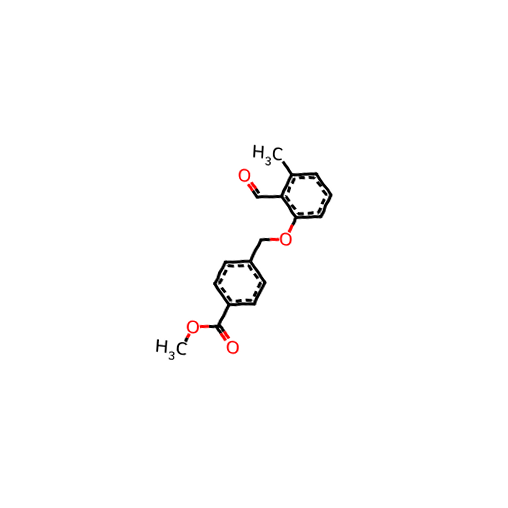 COC(=O)c1ccc(COc2cccc(C)c2C=O)cc1